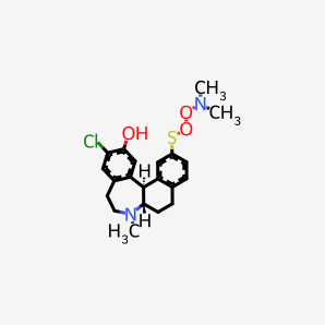 CN(C)OOSc1ccc2c(c1)[C@@H]1c3cc(O)c(Cl)cc3CCN(C)[C@H]1CC2